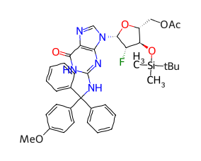 COc1ccc(C(Nc2nc3c(ncn3[C@@H]3O[C@H](COC(C)=O)[C@@H](O[Si](C)(C)C(C)(C)C)[C@@H]3F)c(=O)[nH]2)(c2ccccc2)c2ccccc2)cc1